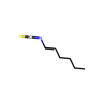 CCCCC=CN=C=S